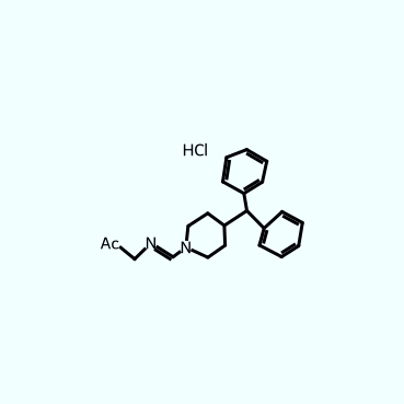 CC(=O)CN=CN1CCC(C(c2ccccc2)c2ccccc2)CC1.Cl